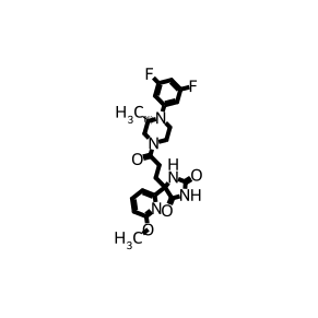 COc1cccc(C2(CCC(=O)N3CCN(c4cc(F)cc(F)c4)[C@@H](C)C3)NC(=O)NC2=O)n1